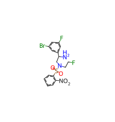 NC(CN(CCF)S(=O)(=O)c1ccccc1[N+](=O)[O-])c1cc(F)cc(Br)c1